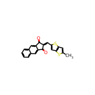 Cc1cc2sc(C=C3C(=O)c4cc5ccccc5cc4C3=O)cc2s1